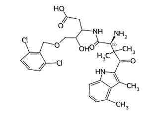 Cc1cccc2[nH]c(C(=O)C(C)(C)[C@H](N)C(=O)NC(CC(=O)O)C(O)COCc3c(Cl)cccc3Cl)c(C)c12